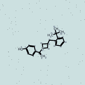 C=C(c1ccc(O)cc1)N1CC(Cc2ccccc2C(C)(C)C)C1